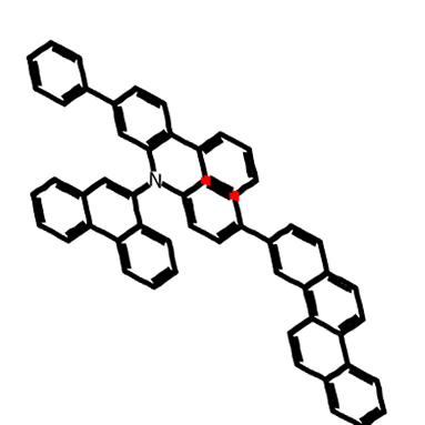 c1ccc(-c2ccc(-c3ccccc3)c(N(c3ccc(-c4ccc5ccc6c7ccccc7ccc6c5c4)cc3)c3cc4ccccc4c4ccccc34)c2)cc1